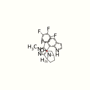 Cn1nc2c(c1-c1cc(F)c(F)c(F)c1)CC1CC[C@@H]2N1C(=O)c1c(F)ccc2cc[nH]c12